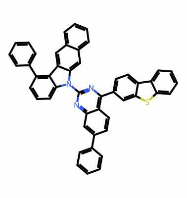 c1ccc(-c2ccc3c(-c4ccc5c(c4)sc4ccccc45)nc(-n4c5cc6ccccc6cc5c5c(-c6ccccc6)cccc54)nc3c2)cc1